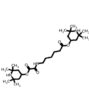 CC1(C)CC(OC(=O)CCCCCNC(=O)C(=O)OC2CC(C)(C)NC(C)(C)C2)CC(C)(C)N1